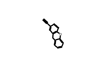 C#Cc1ccc2c(c1)Cc1ccccc1O2